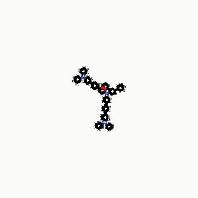 c1ccc(C2C=C(c3ccccc3)C(N(c3ccc(-c4ccc(C5=CC=C(N(c6ccccc6)c6ccccc6)CC5)cc4)cc3)c3ccc(-c4ccc(-c5ccc(N(c6ccccc6)C6C=CC=CC6)cc5)cc4)cc3)=CC2)cc#1